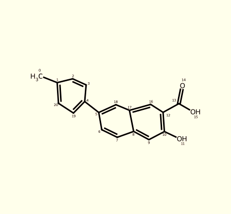 Cc1ccc(-c2ccc3cc(O)c(C(=O)O)cc3c2)cc1